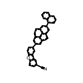 N#Cc1ccc2oc3ccc(-c4cc5ccc6cc(-c7cccc8ccccc78)cc7ccc(c4)c5c67)cc3c2c1